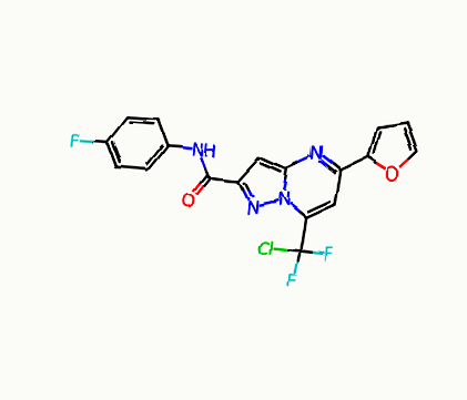 O=C(Nc1ccc(F)cc1)c1cc2nc(-c3ccco3)cc(C(F)(F)Cl)n2n1